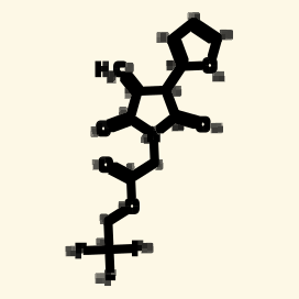 C=C1C(=O)N(CC(=O)OCC(F)(F)F)C(=O)C1c1ccco1